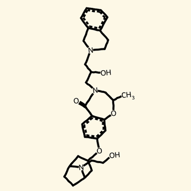 CC1CN(CC(O)CN2CCc3ccccc3C2)C(=O)c2ccc(OC3CC4CCC(C3)N4CCO)cc2O1